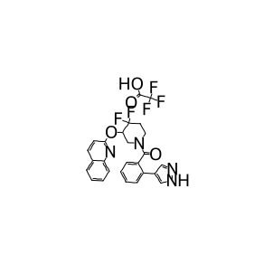 O=C(O)C(F)(F)F.O=C(c1ccccc1-c1cn[nH]c1)N1CCC(F)(F)C(Oc2ccc3ccccc3n2)C1